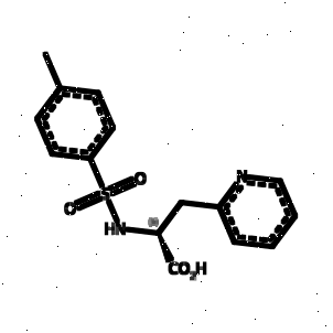 Cc1ccc(S(=O)(=O)N[C@@H](Cc2ccccn2)C(=O)O)cc1